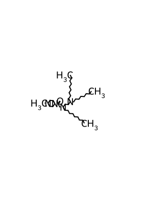 CCCCCCCCCN(CCCCCCCC)CCN(CCCCCCCCC)CC(=O)N1CCN(C)CC1